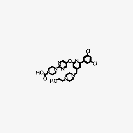 O=C(O)N1CCN(c2ncc(Oc3cc(CN4CCN(CCO)CC4)cc(-c4cc(Cl)cc(Cl)c4)n3)cn2)CC1